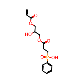 C=CC(=O)OCC(O)COC(=O)CCP(=O)(O)c1ccccc1